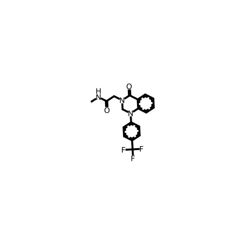 CNC(=O)CN1CN(c2ccc(C(F)(F)F)cc2)c2ccccc2C1=O